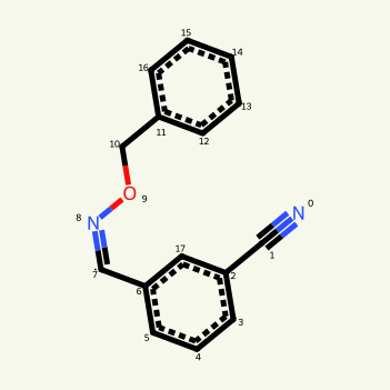 N#Cc1cccc(/[C]=N\OCc2ccccc2)c1